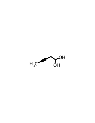 CC#CCC(O)O